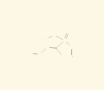 CCCCOP(=O)(OCCCC)C(C)OOC(C)(C)C